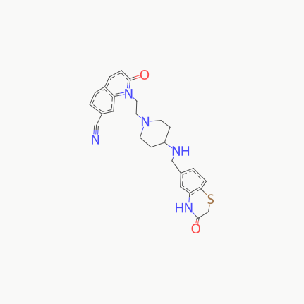 N#Cc1ccc2ccc(=O)n(CCN3CCC(NCc4ccc5c(c4)NC(=O)CS5)CC3)c2c1